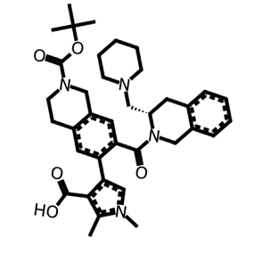 Cc1c(C(=O)O)c(-c2cc3c(cc2C(=O)N2Cc4ccccc4C[C@H]2CN2CCCCC2)CN(C(=O)OC(C)(C)C)CC3)cn1C